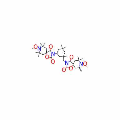 C=C1CC2(CC(C)(C)N1OC)OC(=O)N(CC1(C)CC(N3C(=O)OC4(CC(C)(C)N(OC)C(C)(C)C4)C3=O)CC(C)(C)C1)C2=O